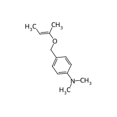 CC=C(C)OCc1ccc(N(C)C)cc1